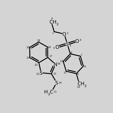 CCOS(=O)(=O)c1ccc(C)cc1.CSc1nc2ccccc2s1